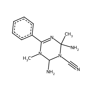 CN1C(c2ccccc2)=NC(C)(N)N(C#N)C1N